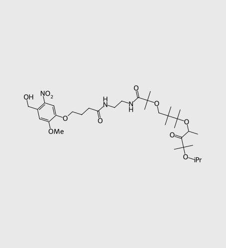 COc1cc(CO)c([N+](=O)[O-])cc1OCCCC(=O)NCCNC(=O)C(C)(C)OCC(C)(C)C(C)(C)OC(C)C(=O)C(C)(C)OC(C)C